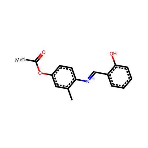 CNC(=O)Oc1ccc(/N=C/c2ccccc2O)c(C)c1